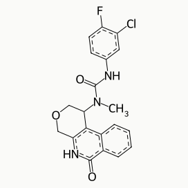 CN(C(=O)Nc1ccc(F)c(Cl)c1)C1COCc2[nH]c(=O)c3ccccc3c21